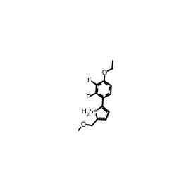 CCOc1ccc(C2=CC=C(COC)[SeH2]2)c(F)c1F